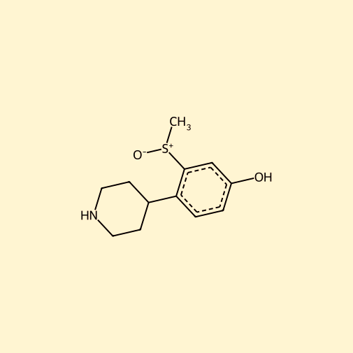 C[S+]([O-])c1cc(O)ccc1C1CCNCC1